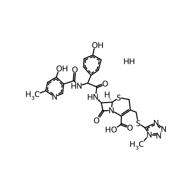 Cc1cc(O)c(C(=O)NC(C(=O)N[C@@H]2C(=O)N3C(C(=O)O)=C(CSc4nnnn4C)CS[C@H]23)c2ccc(O)cc2)cn1.[HH]